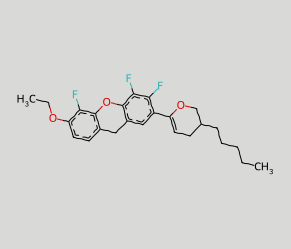 CCCCCC1CC=C(c2cc3c(c(F)c2F)Oc2c(ccc(OCC)c2F)C3)OC1